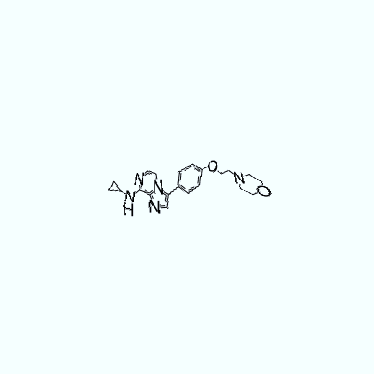 c1cn2c(-c3ccc(OCCN4CCOCC4)cc3)cnc2c(NC2CC2)n1